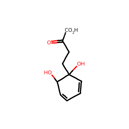 O=C(O)C(=O)CCC1(O)C=CC=CC1O